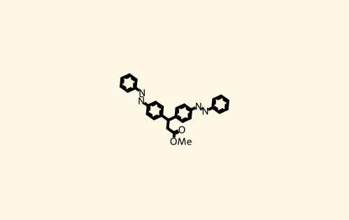 COC(=O)CC(c1ccc(/N=N/c2ccccc2)cc1)c1ccc(/N=N/c2ccccc2)cc1